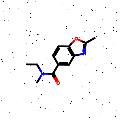 CCN(C)C(=O)c1ccc2oc(C)nc2c1